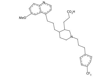 COc1ccc2nccc(CCCC3CCN(CCCc4ccc(C(F)(F)F)cc4)CC3CCC(=O)O)c2c1